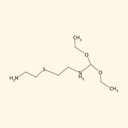 CCOC(OCC)[SiH2]CCSCCN